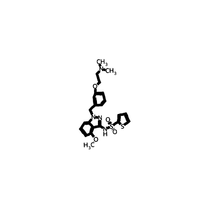 COc1cccc2c1c(NS(=O)(=O)c1cccs1)nn2Cc1cccc(OCCN(C)C)c1